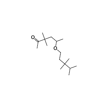 CC(=O)C(C)(C)CC(C)OCCC(C)(C)C(C)C